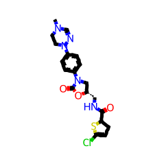 CN1C=NN(c2ccc(N3C[C@H](CNC(=O)C4CC=C(Cl)S4)OC3=O)cc2)CC1